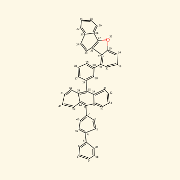 c1ccc(-c2ccc(-c3c4ccccc4c(-c4cccc(-c5cccc6oc7c8ccccc8ccc7c56)c4)c4ccccc34)cc2)cc1